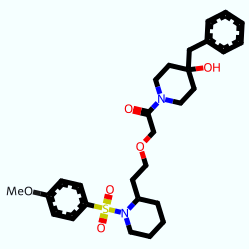 COc1ccc(S(=O)(=O)N2CCCCC2CCOCC(=O)N2CCC(O)(Cc3ccccc3)CC2)cc1